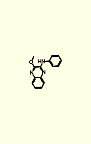 COc1nc2ccccc2nc1Nc1ccccc1